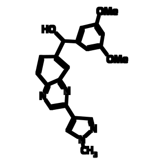 COc1cc(OC)cc(C(O)c2ccc3ncc(-c4cnn(C)c4)nc3c2)c1